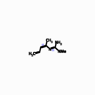 C=C/C=C(C)\N=C(/N)NC